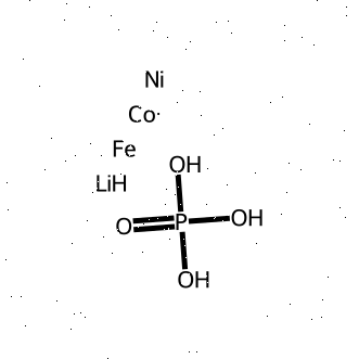 O=P(O)(O)O.[Co].[Fe].[LiH].[Ni]